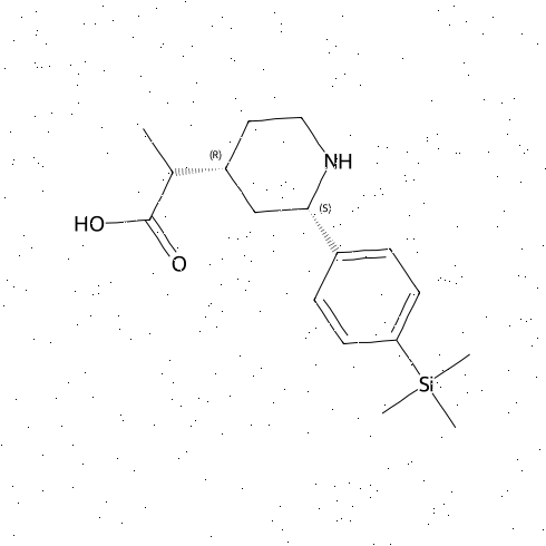 CC(C(=O)O)[C@@H]1CCN[C@H](c2ccc([Si](C)(C)C)cc2)C1